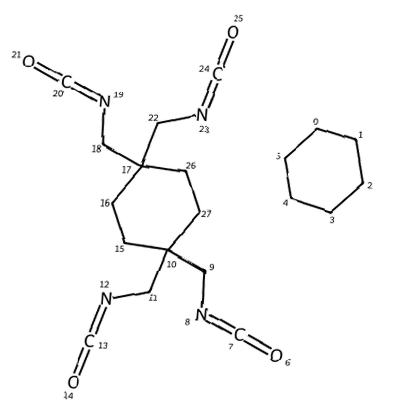 C1CCCCC1.O=C=NCC1(CN=C=O)CCC(CN=C=O)(CN=C=O)CC1